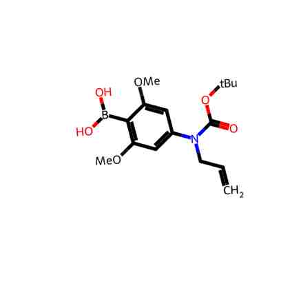 C=CCN(C(=O)OC(C)(C)C)c1cc(OC)c(B(O)O)c(OC)c1